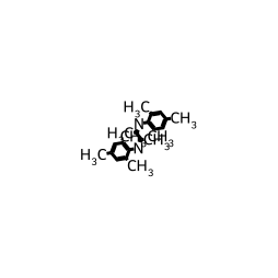 CC(=N/c1c(C)cc(C)cc1C)/C(C)=N\c1c(C)cc(C)cc1C